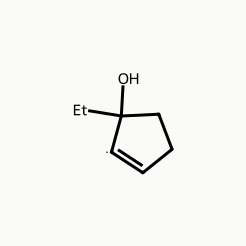 CCC1(O)[C]=CCC1